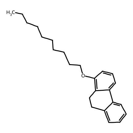 CCCCCCCCCCOc1cccc2c1CCc1ccccc1-2